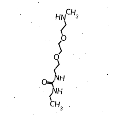 CCNC(=O)NCCOCCOCCNC